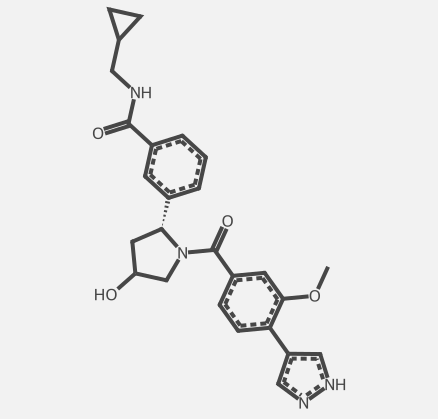 COc1cc(C(=O)N2CC(O)C[C@@H]2c2cccc(C(=O)NCC3CC3)c2)ccc1-c1cn[nH]c1